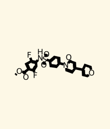 COC(=O)c1cc(F)c(NS(=O)(=O)c2ccc(-n3ccc(C4=CCOCC4)cc3=O)cc2)cc1F